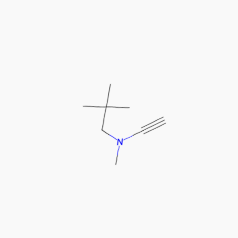 C#CN(C)CC(C)(C)C